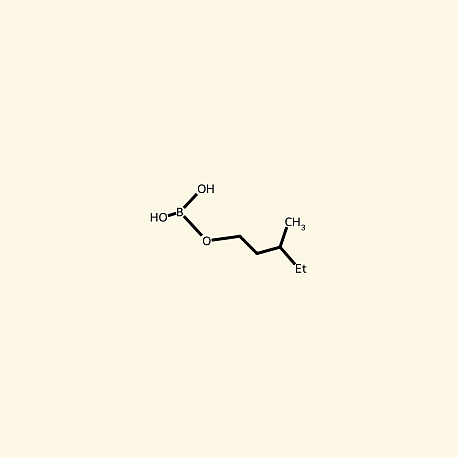 CCC(C)CCOB(O)O